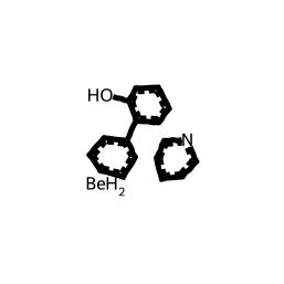 Oc1ccccc1-c1ccccc1.[BeH2].c1ccncc1